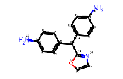 Nc1ccc(C(c2ccc(N)cc2)c2ncco2)cc1